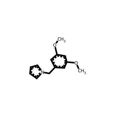 COc1cc(Cn2cccc2)cc(OC)c1